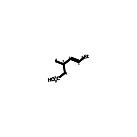 CCC=CC(C)CC(=O)O